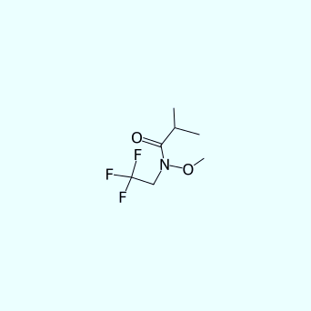 CON(CC(F)(F)F)C(=O)C(C)C